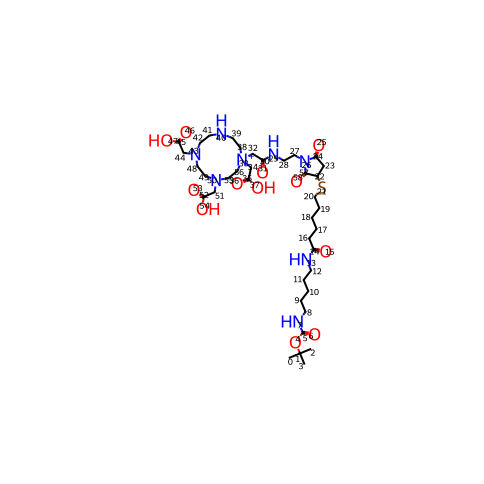 CC(C)(C)OC(=O)NCCCCCNC(=O)CCCCCSC1CC(=O)N(CCNC(=O)C[N+]2(CC(=O)O)CCNCCN(CC(=O)O)CCN(CC(=O)O)CC2)C1=O